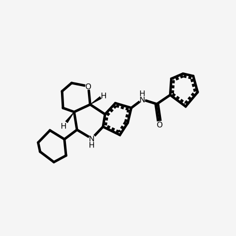 O=C(Nc1ccc2c(c1)[C@H]1OCCC[C@H]1C(C1CCCCC1)N2)c1ccccc1